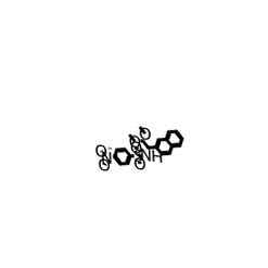 COC(OC)C(NS(=O)(=O)c1ccc([N+](=O)[O-])cc1)c1ccc2ccccc2c1